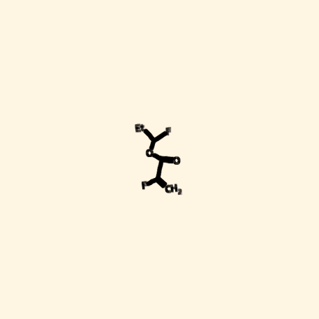 C=C(F)C(=O)OC(F)CC